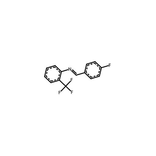 Fc1ccc(C=Nc2ccccc2C(F)(F)F)cc1